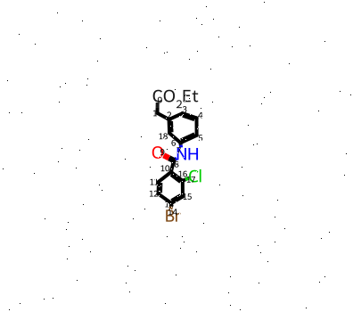 CCOC(=O)Cc1cccc(NC(=O)c2ccc(Br)cc2Cl)c1